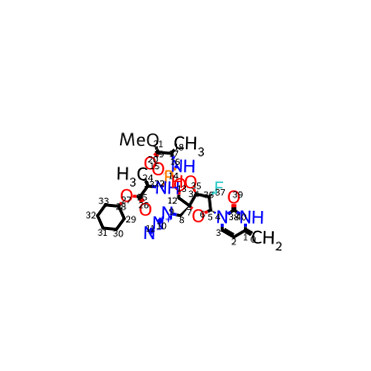 C=C1C=CN([C@@H]2O[C@](CN=[N+]=[N-])(COP(=O)(NC(C)C(=O)OC)NC(C)C(=O)OC3CCCCC3)[C@@H](O)[C@H]2F)C(=O)N1